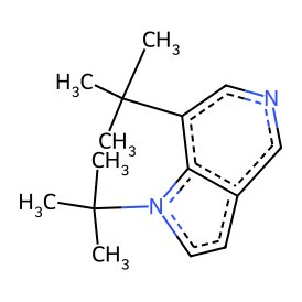 CC(C)(C)c1cncc2ccn(C(C)(C)C)c12